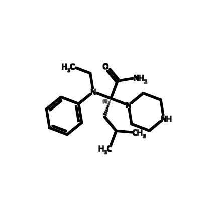 CCN(c1ccccc1)[C@@](CC(C)C)(C(N)=O)N1CCNCC1